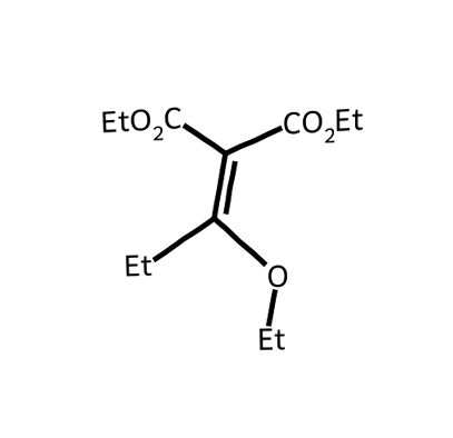 CCOC(=O)C(C(=O)OCC)=C(CC)OCC